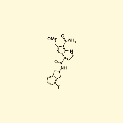 COCc1nn2c(C(=O)NC3Cc4cccc(F)c4C3)ccnc2c1C(N)=O